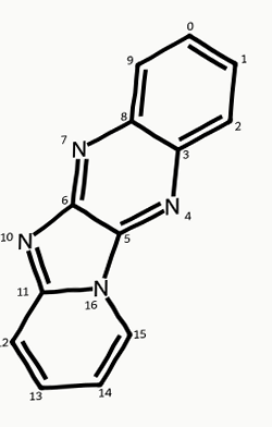 c1ccc2nc3c(nc2c1)nc1ccccn13